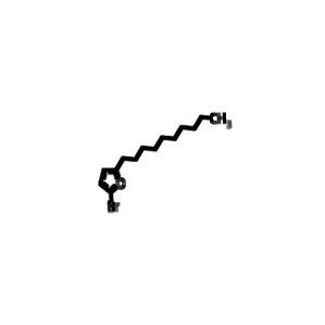 CCCCCCCCCCc1ccc(Br)o1